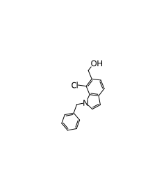 OCc1ccc2ccn(Cc3ccccc3)c2c1Cl